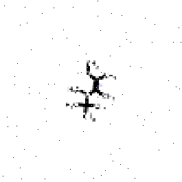 CS/C(C)=C(/C)N(C)C(C)(C)C